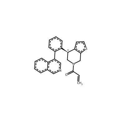 C=CC(=O)N1Cc2sccc2[C@H](c2ccccc2-c2cncc3ccccc23)C1